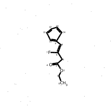 CCOC(=O)CC(F)=Cc1ccccc1